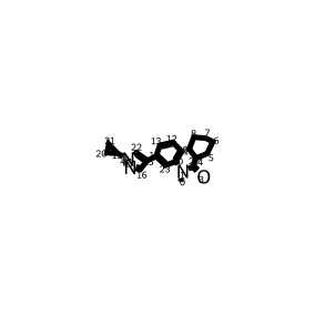 CN(C(=O)C1CCCCC1)c1cccc(-c2cnn(C3CC3)c2)c1